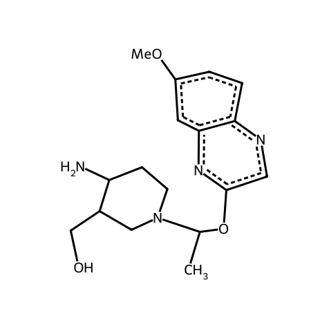 COc1ccc2ncc(OC(C)N3CCC(N)C(CO)C3)nc2c1